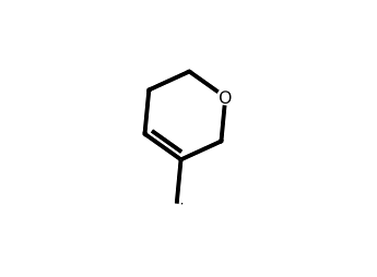 [CH2]C1=CCCOC1